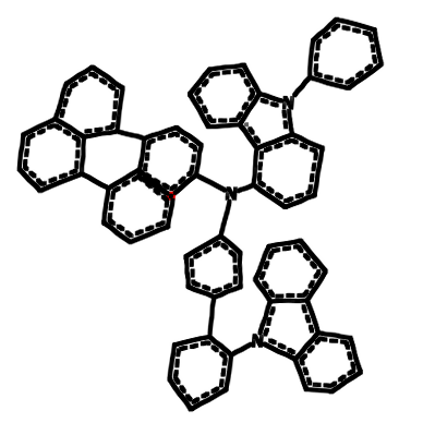 c1ccc(-c2cccc3cccc(-c4ccc(N(c5ccc(-c6ccccc6-n6c7ccccc7c7ccccc76)cc5)c5cccc6c5c5ccccc5n6-c5ccccc5)cc4)c23)cc1